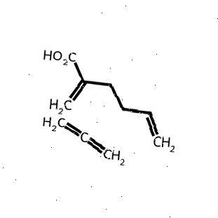 C=C=C.C=CCCC(=C)C(=O)O